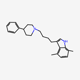 Cc1ccc(C)c2c(CCCCN3CCC(c4ccccc4)CC3)c[nH]c12